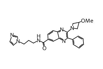 COC1CN(c2nc3ccc(C(=O)NCCCn4ccnc4)cc3nc2-c2ccccc2)C1